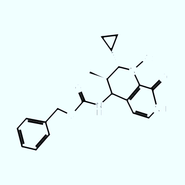 CC(=O)N1c2c(cc[nH]c2=O)C(NC(=O)OCc2ccccc2)[C@@H](C)[C@@H]1C1CC1